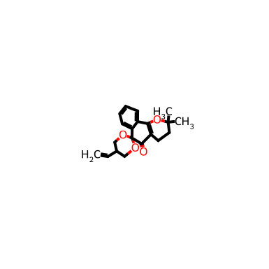 C=CC1COC2(OC1)C(=O)C1=C(OC(C)(C)CC1)c1ccccc12